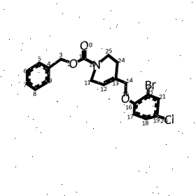 O=C(OCc1ccccc1)N1CC=C(COc2ccc(Cl)cc2Br)CC1